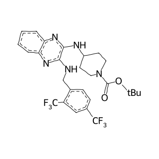 CC(C)(C)OC(=O)N1CCC(Nc2nc3ccccc3nc2NCc2ccc(C(F)(F)F)cc2C(F)(F)F)CC1